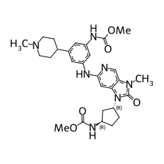 COC(=O)Nc1cc(Nc2cc3c(cn2)n(C)c(=O)n3[C@@H]2CC[C@@H](NC(=O)OC)C2)cc(C2CCN(C)CC2)c1